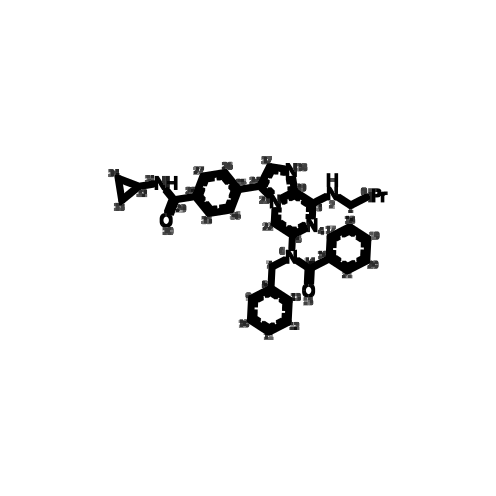 CC(C)CNc1nc(N(Cc2ccccc2)C(=O)c2ccccc2)cn2c(-c3ccc(C(=O)NC4CC4)cc3)cnc12